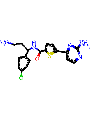 NCCC(NC(=O)c1ccc(-c2ccnc(N)n2)s1)c1ccc(Cl)cc1